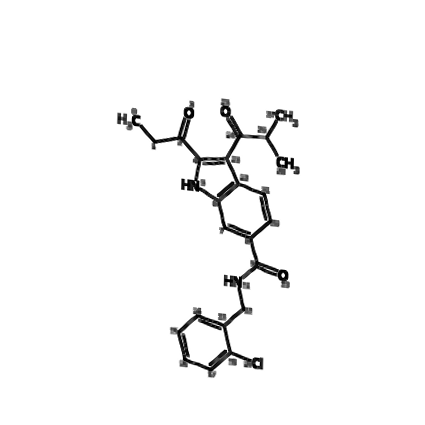 CCC(=O)c1[nH]c2cc(C(=O)NCc3ccccc3Cl)ccc2c1C(=O)C(C)C